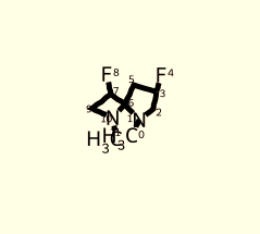 CN1CC(F)CC12C(F)CN2C